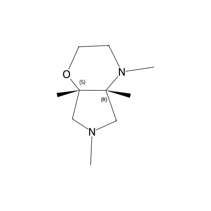 CN1C[C@@]2(C)N(C)CCO[C@@]2(C)C1